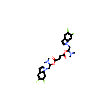 CN(C)C(Cn1ccc2cc(F)c(F)cc21)OC(=O)/C=C/C(=O)OC(Cn1ccc2cc(F)c(F)cc21)N(C)C